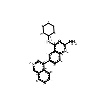 Nc1nc(NC2CCCCC2)c2cc(-c3cncc4ccccc34)ccc2n1